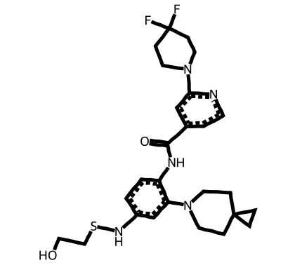 O=C(Nc1ccc(NSCCO)cc1N1CCC2(CC1)CC2)c1ccnc(N2CCC(F)(F)CC2)c1